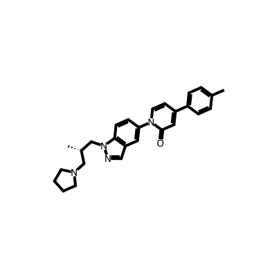 Cc1ccc(-c2ccn(-c3ccc4c(cnn4C[C@@H](C)CN4CCCC4)c3)c(=O)c2)cc1